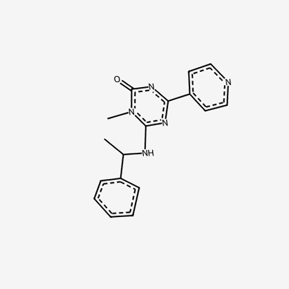 CC(Nc1nc(-c2ccncc2)nc(=O)n1C)c1ccccc1